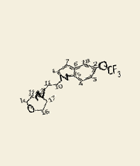 FC(F)(F)Oc1ccc2c(ccn2CCN2CCOCC2)c1